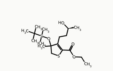 CCOC(=O)C1=C(CC[C@H](C)O)C(C)(O[Si](C)(C)C(C)(C)C)CS1